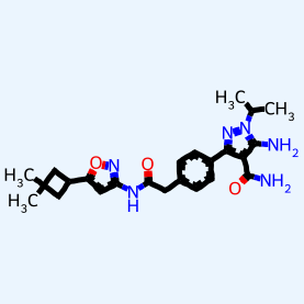 CC(C)n1nc(-c2ccc(CC(=O)Nc3cc(C4CC(C)(C)C4)on3)cc2)c(C(N)=O)c1N